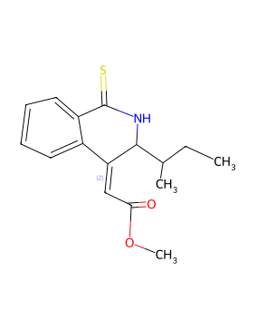 CCC(C)C1NC(=S)c2ccccc2/C1=C/C(=O)OC